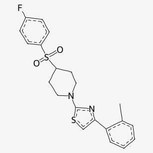 Cc1ccccc1-c1csc(N2CCC(S(=O)(=O)c3ccc(F)cc3)CC2)n1